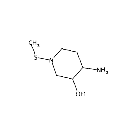 CSN1CCC(N)C(O)C1